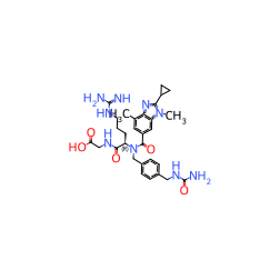 Cc1cc(C(=O)N(Cc2ccc(CNC(N)=O)cc2)[C@H](CCCNC(=N)N)C(=O)NCC(=O)O)cc2c1nc(C1CC1)n2C